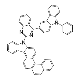 c1ccc(-n2c3ccccc3c3cc(-c4nc(-n5c6ccccc6c6c7ccc8ccc9ccccc9c8c7ccc65)nc5ccccc45)ccc32)cc1